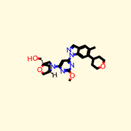 COc1nc(N2C[C@@]3(CO)C[C@@H]2CO3)cc(-n2ncc3cc(C)c(C4CCOCC4)cc32)n1